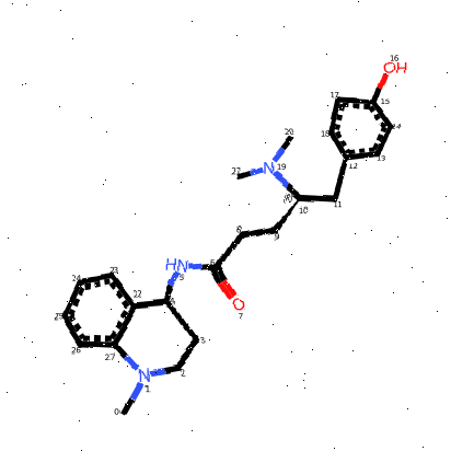 CN1CCC(NC(=O)CC[C@H](Cc2ccc(O)cc2)N(C)C)c2ccccc21